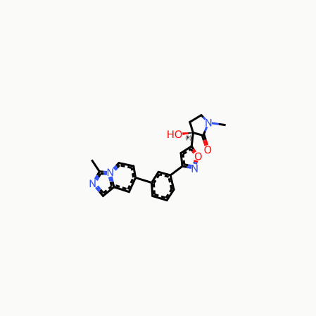 Cc1ncc2cc(-c3cccc(-c4cc([C@]5(O)CCN(C)C5=O)on4)c3)ccn12